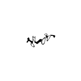 C#CCOC(=O)OCCNC(=O)C(=C)C